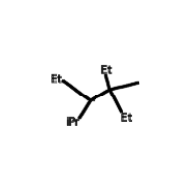 CC[C](C(C)C)C(C)(CC)CC